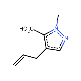 C=CCc1cnn(C)c1C(=O)O